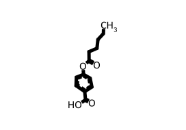 CCCCCC(=O)Oc1ccc(C(=O)O)cc1